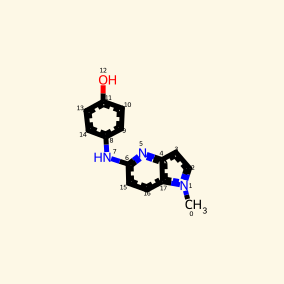 Cn1ccc2nc(Nc3ccc(O)cc3)ccc21